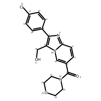 O=C(c1ccc2nc(-c3ccc(Cl)cc3)c(CO)n2c1)N1CCOCC1